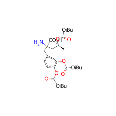 CC(C)COC(=O)Oc1ccc(CC(N)(C[C@H](C)OC(=O)OCC(C)C)C(=O)O)cc1OC(=O)OCC(C)C